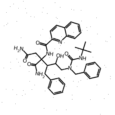 CC(C)(C)NC(=O)N(Cc1ccccc1)CC(O)C(Cc1ccccc1)C(CC(N)=O)(NC(=O)c1ccc2ccccc2n1)C(N)=O